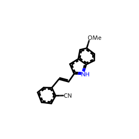 COc1ccc2[nH]c(C=Cc3ccccc3C#N)cc2c1